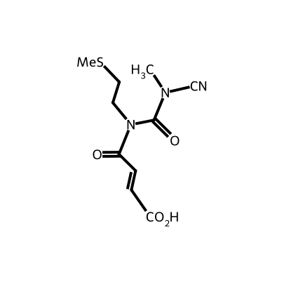 CSCCN(C(=O)/C=C/C(=O)O)C(=O)N(C)C#N